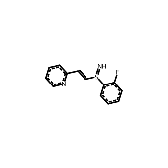 N=S(/C=C/c1ccccn1)c1ccccc1F